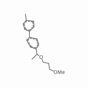 COCCCOC(C)c1ccc(-c2ccc(C)cc2)cc1